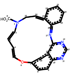 O=C(O)N1/C=C/C=C/Oc2ccc3ncnc(c3c2)/N=c2\cccc\c2=C\C1